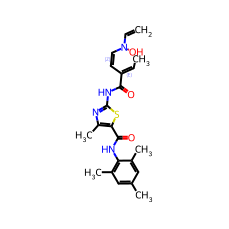 C=CN(O)/C=C\C(=C/C)C(=O)Nc1nc(C)c(C(=O)Nc2c(C)cc(C)cc2C)s1